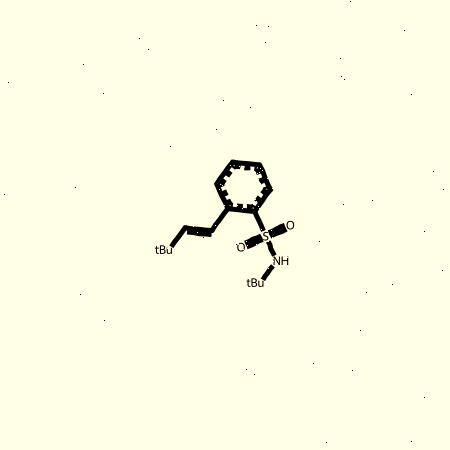 CC(C)(C)C=Cc1ccccc1S(=O)(=O)NC(C)(C)C